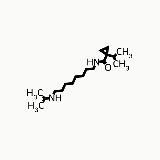 CC(C)NCCCCCCCCNC(=O)C1(C(C)C)CC1